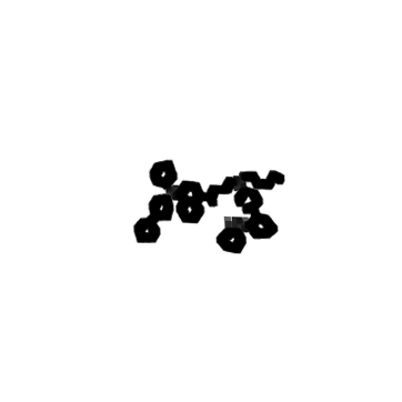 C=C/C=C\C=C/N(/C=C/C=C(\C)c1ccc(N(c2ccccc2)c2ccc(-c3ccccc3)cc2)c2ccccc12)C(/C=C\C(=C)c1ccccc1Nc1ccccc1)=C/C